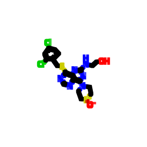 [O-][S+]1CCN(c2nc(NCCO)nc3c(SCc4ccc(Cl)cc4Cl)ncnc23)CC1